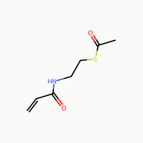 C=CC(=O)NCCSC(C)=O